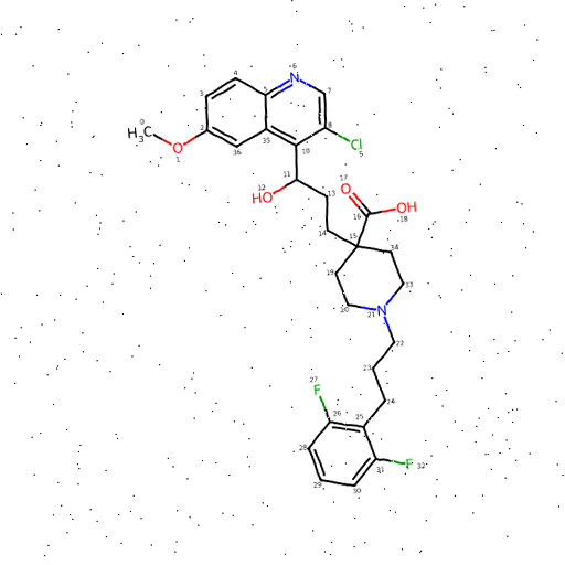 COc1ccc2ncc(Cl)c(C(O)CCC3(C(=O)O)CCN(CCCc4c(F)cccc4F)CC3)c2c1